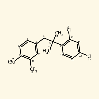 CC(C)(C)c1ccc(CC(C)(C)c2ccc(Cl)cc2Cl)cc1C(F)(F)F